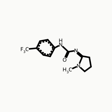 CN1CCC/C1=N/C(=O)Nc1ccc(C(F)(F)F)cc1